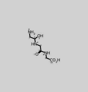 NCC(O)NCC(=O)NCC(=O)O